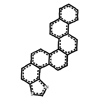 c1ccc2c(c1)ccc1c2ccc2ccc3c(ccc4ccc5scnc5c43)c21